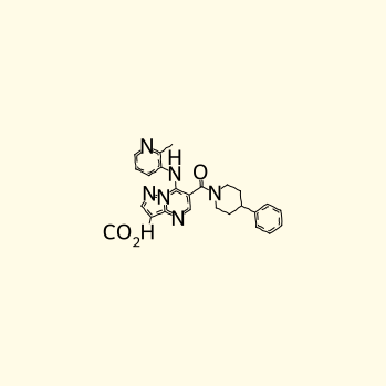 Cc1ncccc1Nc1c(C(=O)N2CCC(c3ccccc3)CC2)cnc2c(C(=O)O)cnn12